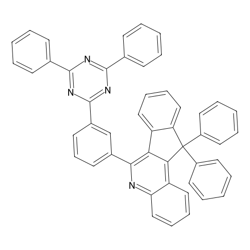 c1ccc(-c2nc(-c3ccccc3)nc(-c3cccc(-c4nc5ccccc5c5c4-c4ccccc4C5(c4ccccc4)c4ccccc4)c3)n2)cc1